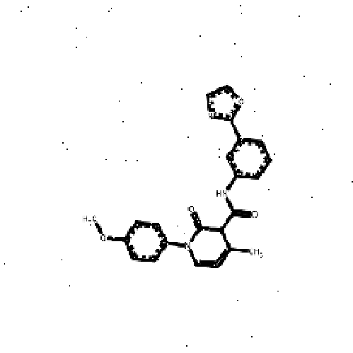 COc1ccc(N2C=C=C(C)C(C(=O)Nc3cccc(-c4ncco4)c3)C2=O)cc1